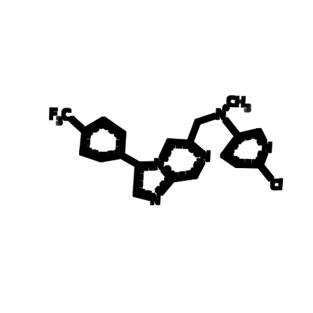 CN(Cc1cn2c(-c3ccc(C(F)(F)F)cc3)cnc2cn1)c1ccc(Cl)nc1